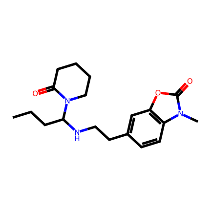 CCCC(NCCc1ccc2c(c1)oc(=O)n2C)N1CCCCC1=O